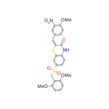 COc1ccc(C=C2Sc3cc(S(=O)(=O)Cc4c(OC)cccc4OC)ccc3NC2=O)cc1[N+](=O)[O-]